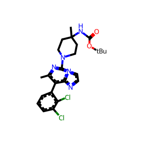 Cc1nc(N2CCC(C)(NC(=O)OC(C)(C)C)CC2)n2ccnc2c1-c1cccc(Cl)c1Cl